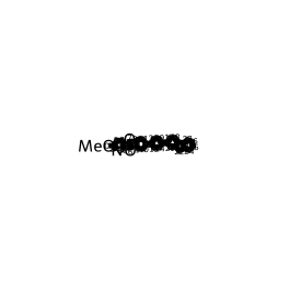 COc1ccc(S(=O)(=O)N2CCC(c3ccc(-c4ccc5c(c4)Cc4ccccc4-5)cc3)CC2)cn1